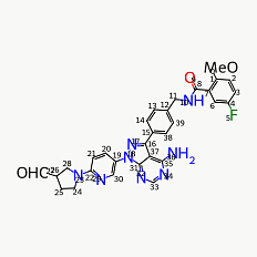 COc1ccc(F)cc1C(=O)NCc1ccc(-c2nn(-c3ccc(N4CCC(C=O)C4)nc3)c3ncnc(N)c23)cc1